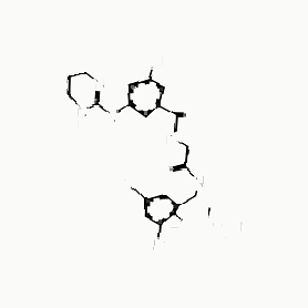 O=C(O)C[C@@H](NC(=O)CNC(=O)c1cc(O)cc(NC2=NCCCN2)c1)c1cc(Cl)cc(Br)c1O